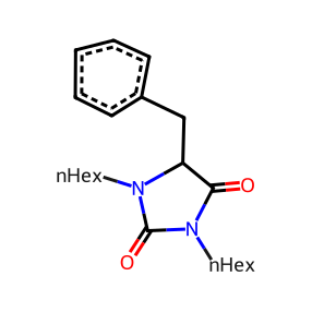 CCCCCCN1C(=O)C(Cc2ccccc2)N(CCCCCC)C1=O